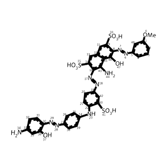 COc1cccc(N=Nc2c(S(=O)(=O)O)cc3cc(S(=O)(=O)O)c(N=Nc4ccc(Nc5ccc(N=Nc6ccc(N)cc6O)cc5)c(S(=O)(=O)O)c4)c(N)c3c2O)c1